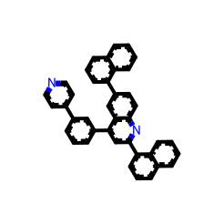 c1cc(-c2ccncc2)cc(-c2cc(-c3cccc4ccccc34)nc3ccc(-c4cccc5ccccc45)cc23)c1